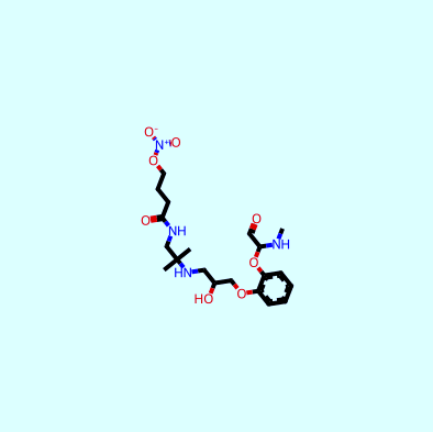 CNC(C=O)Oc1ccccc1OCC(O)CNC(C)(C)CNC(=O)CCCO[N+](=O)[O-]